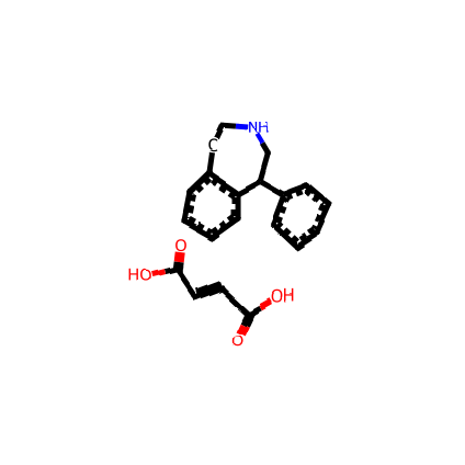 O=C(O)C=CC(=O)O.c1ccc(C2CNCCc3ccccc32)cc1